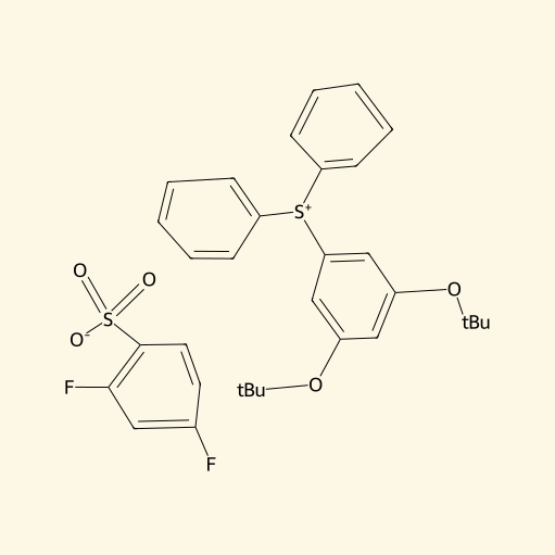 CC(C)(C)Oc1cc(OC(C)(C)C)cc([S+](c2ccccc2)c2ccccc2)c1.O=S(=O)([O-])c1ccc(F)cc1F